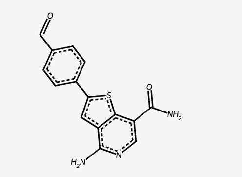 NC(=O)c1cnc(N)c2cc(-c3ccc(C=O)cc3)sc12